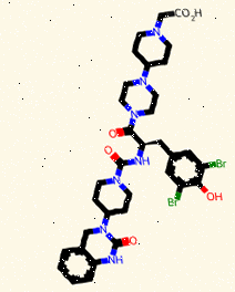 O=C(O)CN1CCC(N2CCN(C(=O)[C@@H](Cc3cc(Br)c(O)c(Br)c3)NC(=O)N3CCC(N4Cc5ccccc5NC4=O)CC3)CC2)CC1